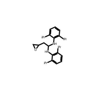 CC(C)c1cccc(C(C)C)c1NC(CC1CO1)Nc1c(C(C)C)cccc1C(C)C